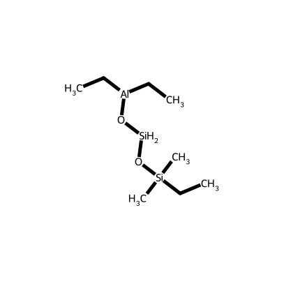 C[CH2][Al]([CH2]C)[O][SiH2]O[Si](C)(C)CC